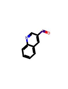 O=Ic1cnc2ccccc2c1